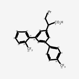 CC(C)CC(C(=O)O)c1cc(-c2ccc(C(F)(F)F)cc2)cc(-c2ccccc2C(F)(F)F)c1